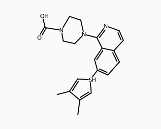 CC1=C[SH](c2ccc3ccnc(N4CCN(C(=O)O)CC4)c3c2)C=C1C